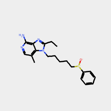 CCc1nc2c(N)ncc(C)c2n1CCCCC[S+]([O-])c1ccccc1